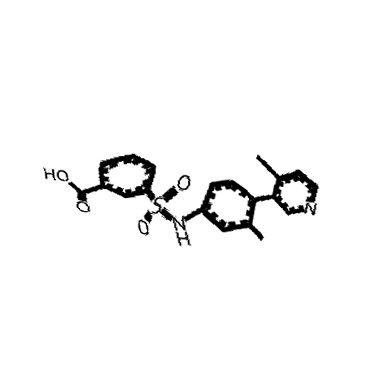 Cc1cc(NS(=O)(=O)c2cccc(C(=O)O)c2)ccc1-c1cnccc1C